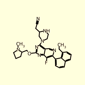 CCc1cccc2cccc(-c3ncc4c(N5CCNC(CC#N)C5)nc(OCC5CCCN5C)nc4c3F)c12